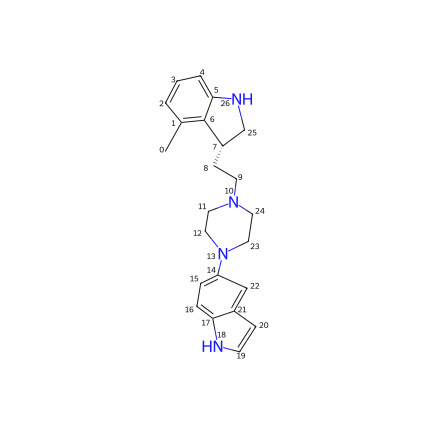 Cc1cccc2c1[C@@H](CCN1CCN(c3ccc4[nH]ccc4c3)CC1)CN2